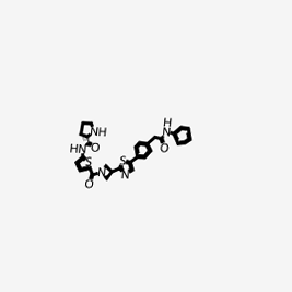 O=C(Cc1ccc(-c2cnc(C3CN(C(=O)c4ccc(NC(=O)[C@@H]5CCCN5)s4)C3)s2)cc1)Nc1ccccc1